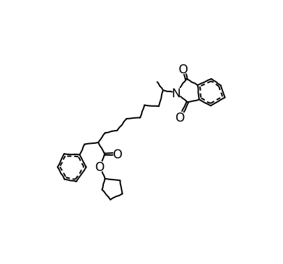 CC(CCCCCCC(Cc1ccccc1)C(=O)OC1CCCC1)N1C(=O)c2ccccc2C1=O